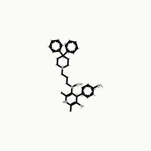 CC(=O)C1=C(C)NC(C)=C(N(C=O)CCCN2CCC(c3ccccc3)(c3ccccc3)CC2)C1c1ccc([N+](=O)[O-])cc1